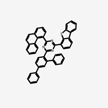 c1ccc(-c2ccc(-c3nc(-c4cccc5c4sc4ccccc45)nc(-c4cccc5ccc6ccccc6c45)n3)c(-c3ccccc3)c2)cc1